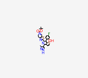 Cc1n[nH]cc1-c1nc(-c2nc3c(s2)CN(C(=O)OC(C)(C)C)CC3)c(-c2ccc(F)cc2O)c2sccc12